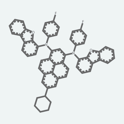 Fc1ccc(N(c2cc(N(c3ccc(F)cc3)c3cccc4c3oc3ccccc34)c3ccc4cc(C5CCCCC5)cc5ccc2c3c54)c2cccc3c2oc2ccccc23)cc1